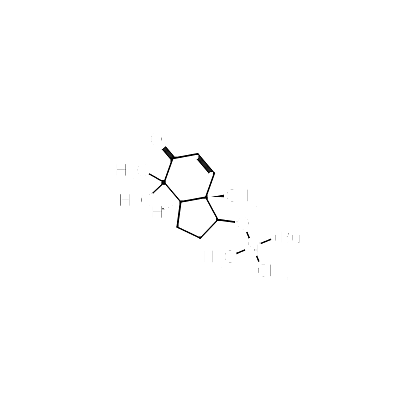 CC1(C)C(=O)C=C[C@]2(C)C(O[Si](C)(C)C(C)(C)C)CC[C@@H]12